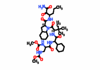 CCCC(NC(=O)[C@@H]1CC2CCCCC2N1C(=O)[C@@H](NC(=O)C(NC(=O)C(CNC(=O)OC)NC(=O)OC)C1CCCCC1)C(C)(C)C)C(=O)C(N)=O